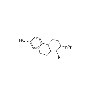 CCCC1CCC2c3ccc(O)cc3CCC2C1F